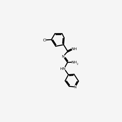 N=C(/N=C(\N)Nc1ccncc1)c1cccc(Cl)c1